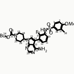 COc1ccc(S(=O)(=O)Nc2cccc(-c3cn(C4CCN(C(=O)OC(C)(C)C)CC4)c4ncnc(N)c34)c2F)cc1C